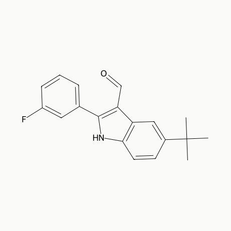 CC(C)(C)c1ccc2[nH]c(-c3cccc(F)c3)c(C=O)c2c1